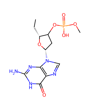 CC[C@H]1O[C@@H](n2cnc3c(=O)[nH]c(N)nc32)CC1OP(=O)(O)OC